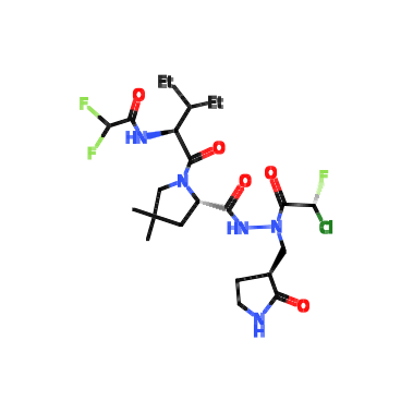 CCC(CC)[C@H](NC(=O)C(F)F)C(=O)N1CC(C)(C)C[C@H]1C(=O)NN(C[C@@H]1CCNC1=O)C(=O)[C@H](F)Cl